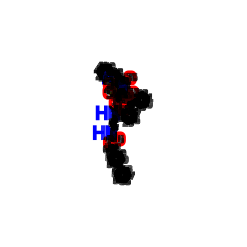 CC(C)(OC(=O)NCCCNC(=O)OC[C@@]1(C)[C@H](C(=O)OC(c2ccccc2)c2ccccc2)N2C(=O)/C(=C/c3ccccn3)C2S1(=O)=O)c1ccc(-c2ccccc2)cc1